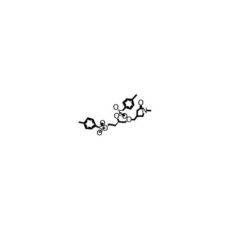 Cc1ccc(S(=O)(=O)OCC[C@H](COCC2CC(=O)N(C)C2)OS(=O)(=O)c2ccc(C)cc2)cc1